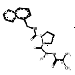 CC(C)[C@H](NC(=O)[C@H](C)N)C(=O)N1CCC[C@H]1C(=O)NCc1cccc2ccccc12